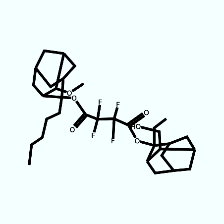 CCCCCC1(OC(=O)C(F)(F)C(F)(F)C(=O)OC2(CC)C3CC4CC(C3)C(CO)C2C4)C2CC3CC(C2)C(OC)C1C3